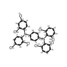 Clc1ccc(N(c2ccc(N(c3c(Cl)cccc3Cl)c3c(Cl)cccc3Cl)cc2)c2ccc(Cl)cc2Cl)c(Cl)c1